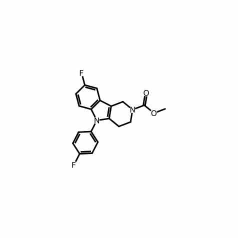 COC(=O)N1CCc2c(c3cc(F)ccc3n2-c2ccc(F)cc2)C1